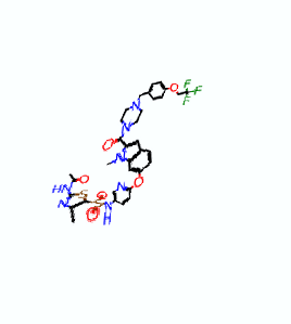 CC(=O)Nc1nc(C)c(S(=O)(=O)Nc2ccc(Oc3ccc4cc(C(=O)N5CCN(Cc6ccc(OCC(F)(F)F)cc6)CC5)n(C)c4c3)nc2)s1